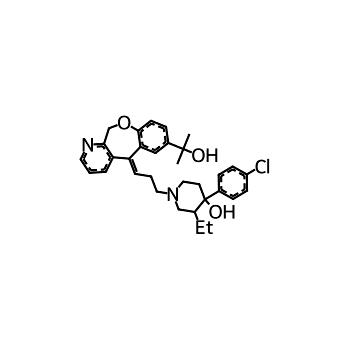 CCC1CN(CC/C=C2\c3cc(C(C)(C)O)ccc3OCc3ncccc32)CCC1(O)c1ccc(Cl)cc1